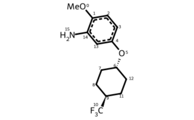 COc1ccc(O[C@H]2CC[C@H](C(F)(F)F)CC2)cc1N